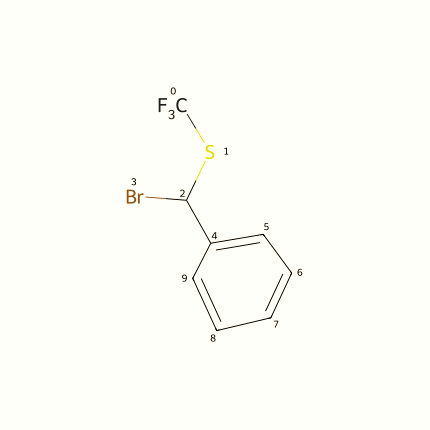 FC(F)(F)SC(Br)c1ccccc1